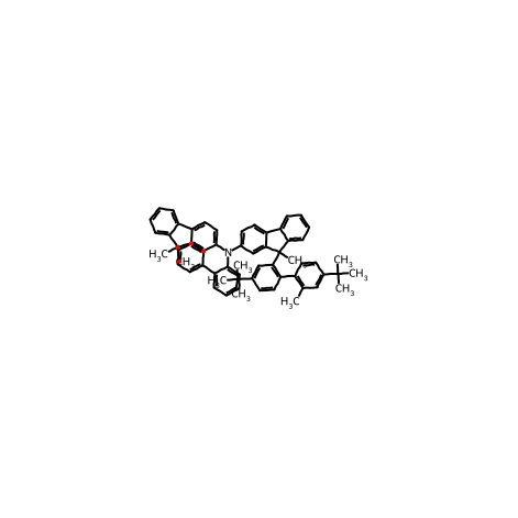 Cc1cc(C(C)(C)C)ccc1-c1ccc(C(C)(C)C)cc1C1(C)c2ccccc2-c2ccc(N(c3ccc4c(c3)C(C)(C)c3ccccc3-4)c3ccccc3-c3ccccc3)cc21